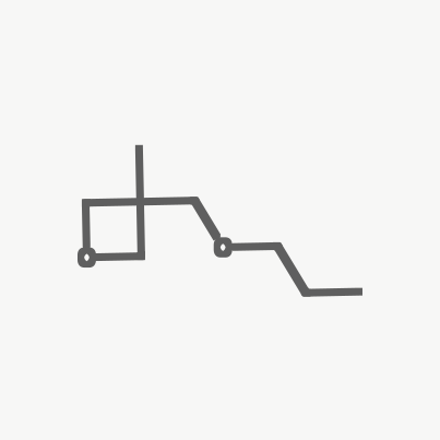 CCCOCC1(C)COC1